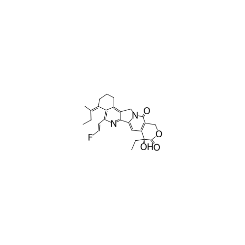 CC/C(C)=C1/CCCc2c3c(nc(/C=C/F)c21)-c1cc2c(c(=O)n1C3)COC(=O)[C@]2(O)CC